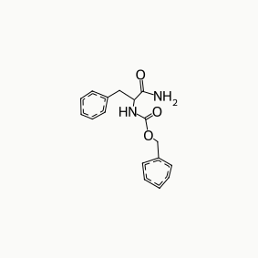 NC(=O)C(Cc1ccccc1)NC(=O)OCc1ccccc1